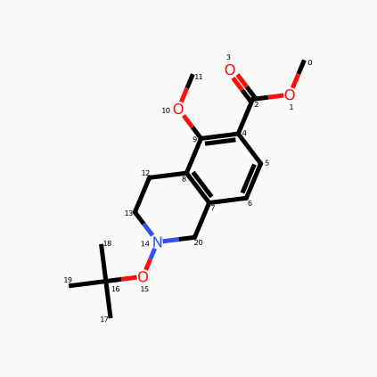 COC(=O)c1ccc2c(c1OC)CCN(OC(C)(C)C)C2